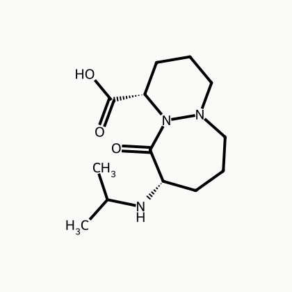 CC(C)N[C@H]1CCCN2CCC[C@@H](C(=O)O)N2C1=O